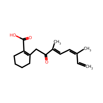 C=C/C(C)=C\C=C(/C)C(=O)CC1=C(C(=O)O)CCCC1